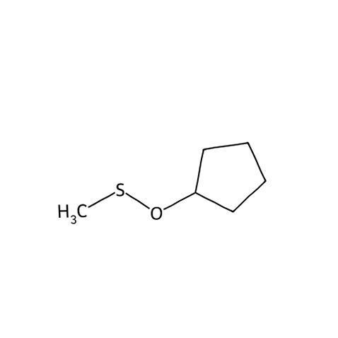 CSOC1CCCC1